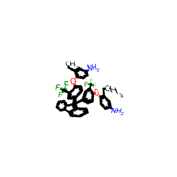 CCc1cc(N)ccc1Oc1ccc(C2(c3ccc(Oc4ccc(N)cc4CC)c(C(F)(F)F)c3)c3ccccc3-c3ccccc32)cc1C(F)(F)F